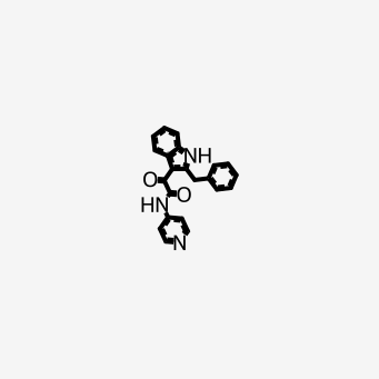 O=C(Nc1ccncc1)C(=O)c1c(Cc2ccccc2)[nH]c2ccccc12